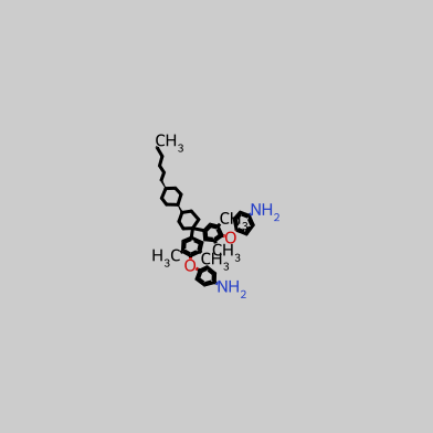 CCCCCC[C@H]1CC[C@@H](C2CCC(c3cc(C)c(Oc4ccc(N)cc4)c(C)c3)(c3cc(C)c(Oc4ccc(N)cc4)c(C)c3)CC2)CC1